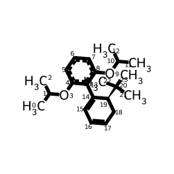 CC(C)Oc1cccc(OC(C)C)c1C1=CC=CC[C@@H]1C(C)(C)C